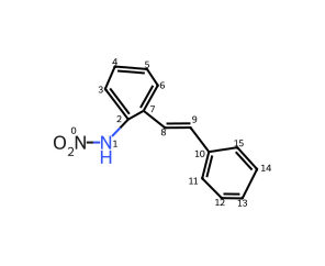 O=[N+]([O-])Nc1ccccc1C=Cc1ccccc1